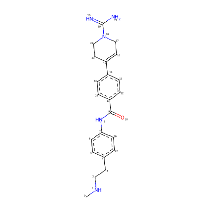 CNCCc1ccc(NC(=O)c2ccc(C3=CCN(C(=N)N)CC3)cc2)cc1